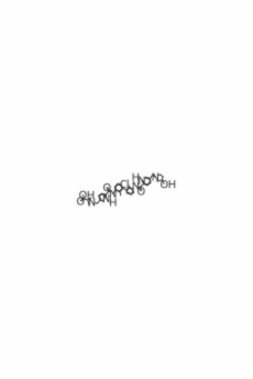 Cc1c(NC(=O)c2ccc(CN3CC(C(=O)O)C3)cn2)cccc1-c1cccc(NC(=O)c2ccc(CN3CCC(O)C3)cn2)c1Cl